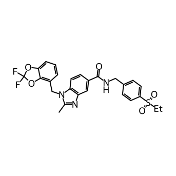 CCS(=O)(=O)c1ccc(CNC(=O)c2ccc3c(c2)nc(C)n3Cc2cccc3c2OC(F)(F)O3)cc1